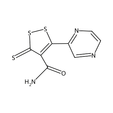 NC(=O)c1c(-c2cnccn2)ssc1=S